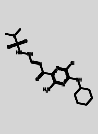 CN(C)S(=O)(=O)NNC=NC(=O)c1nc(Cl)c(NC2CCCCC2)nc1N